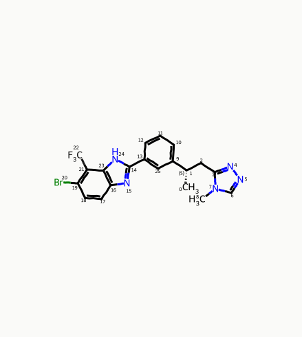 C[C@@H](Cc1nncn1C)c1cccc(-c2nc3ccc(Br)c(C(F)(F)F)c3[nH]2)c1